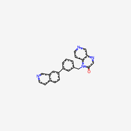 O=c1cnc2cnccc2n1Cc1cccc(-c2ccc3ccncc3c2)c1